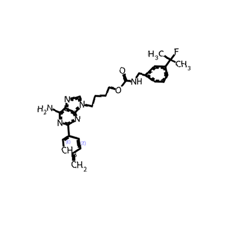 C=C/C=C\C(=C/C)c1nc(N)c2ncn(CCCCOC(=O)NCc3cccc(C(C)(C)F)c3)c2n1